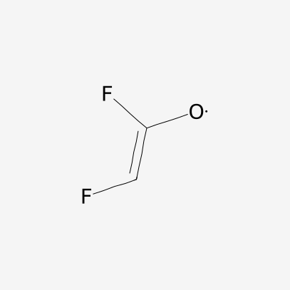 [O]C(F)=CF